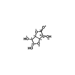 O=C1OC2C(O)C(O)OC2[C@@H]1O